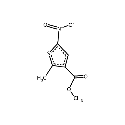 COC(=O)c1cc([N+](=O)[O-])sc1C